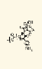 COC(=O)C1C(NC(=O)C(=NOC(C)(C)C(=O)OC(C)(C)C)c2csc(N)n2)C(=O)N1S(=O)(=O)O